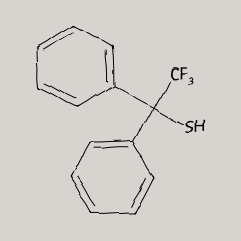 FC(F)(F)C(S)(c1ccccc1)c1ccccc1